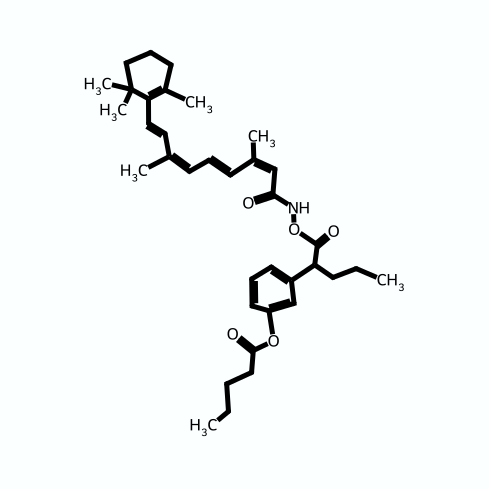 CCCCC(=O)Oc1cccc(C(CCC)C(=O)ONC(=O)C=C(C)C=CC=C(C)C=CC2=C(C)CCCC2(C)C)c1